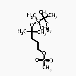 CC(C)(CCCOS(C)(=O)=O)O[Si](C)(C)C(C)(C)C